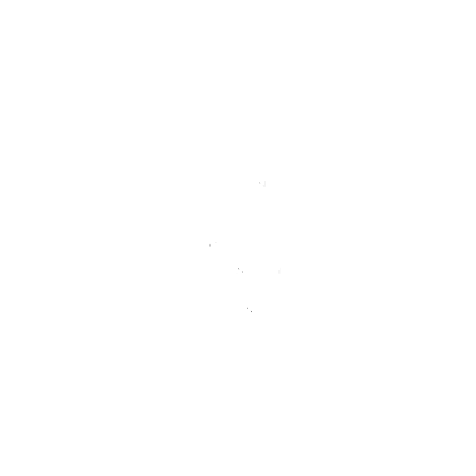 CCCC(CC(C)C)(c1c[nH]c2ccccc12)N1C=NCC1